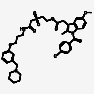 COc1ccc2c(c1)c(CC(=O)OCCS(=O)(=O)CC(=O)NCCCOc1cccc(CN3CCCCC3)c1)c(C)n2C(=O)c1ccc(Cl)cc1